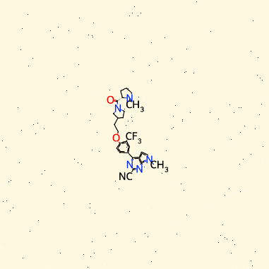 CN1CCC[C@H]1C(=O)N1CCC(CCOc2ccc(-c3nc(C#N)nc4c3ccn4C)cc2C(F)(F)F)C1